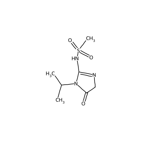 CC(C)N1C(=O)CN=C1NS(C)(=O)=O